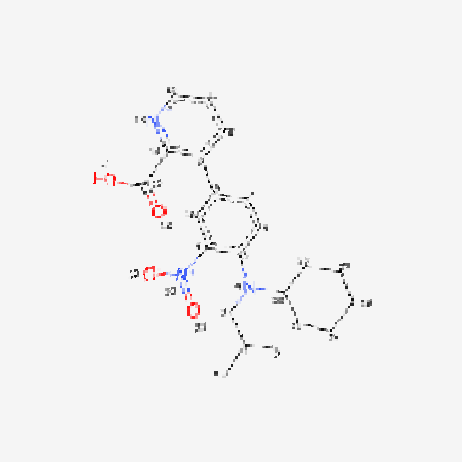 CC(C)CN(c1ccc(-c2cccnc2C(=O)O)cc1[N+](=O)[O-])C1CCCCC1